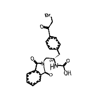 O=C(O)N[C@@H](Cc1ccc(C(=O)CBr)cc1)CN1C(=O)c2ccccc2C1=O